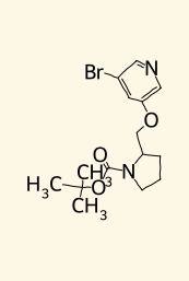 CC(C)(C)OC(=O)N1CCCC1COc1cncc(Br)c1